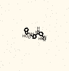 O=C(N[C@H]1c2ccccc2C[C@H]1O)c1cccc(-c2n[nH]c3ccc(-c4ncn[nH]4)cc23)c1